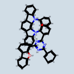 c1ccc(-c2nc(-c3ccccc3-n3c4ccccc4c4ccc5c6ccccc6n(-c6ccccc6)c5c43)nc(-c3cccc4c3oc3ccccc34)n2)cc1